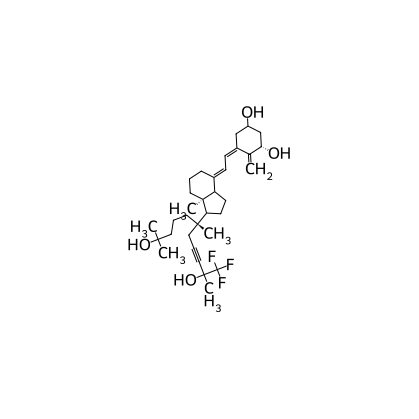 C=C1/C(=C\C=C2/CCC[C@@]3(C)C2CCC3[C@](C)(CC#CC(C)(O)C(F)(F)F)CCCC(C)(C)O)CC(O)C[C@@H]1O